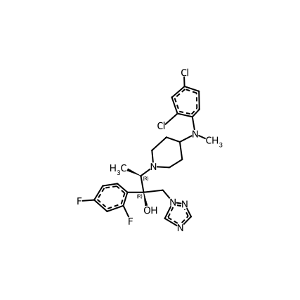 C[C@@H](N1CCC(N(C)c2ccc(Cl)cc2Cl)CC1)[C@](O)(Cn1cncn1)c1ccc(F)cc1F